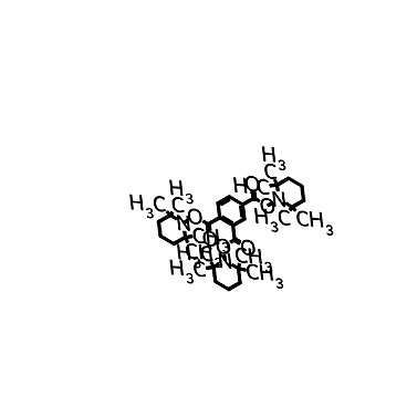 CC1(C)CCCC(C)(C)N1OC(=O)c1ccc(C(=O)ON2C(C)(C)CCCC2(C)C)c(C(=O)ON2C(C)(C)CCCC2(C)C)c1